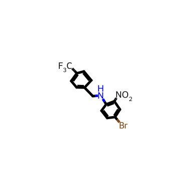 O=[N+]([O-])c1cc(Br)ccc1NCc1ccc(C(F)(F)F)cc1